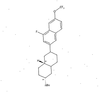 CCCC[C@@H]1CC[C@@H]2CC(c3cc(F)c4cc(OC(F)(F)F)ccc4c3)CCC2C1